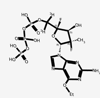 [2H]C([2H])(OP(=O)(O)OP(=O)(O)OP(=O)(O)O)[C@@]1(F)O[C@@H](n2cnc3c(OCC)nc(N)nc32)[C@](C)(F)[C@@H]1O